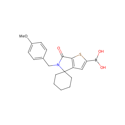 COc1ccc(CN2C(=O)c3sc(B(O)O)cc3C23CCCCC3)cc1